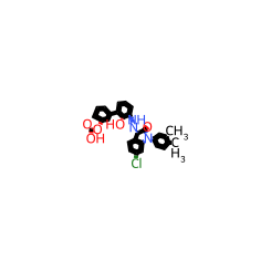 Cc1ccc(N2C(=O)C(=NNc3cccc(-c4cccc(OC(=O)O)c4)c3O)c3ccc(Cl)cc32)cc1C